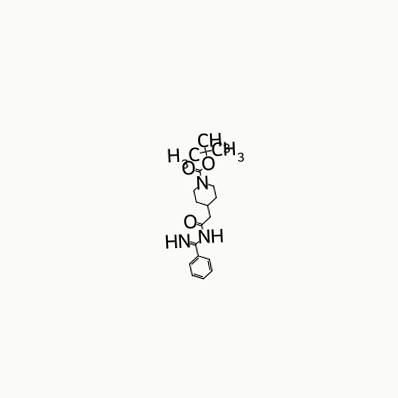 CC(C)(C)OC(=O)N1CCC(CC(=O)NC(=N)c2ccccc2)CC1